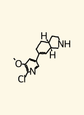 COc1cc(C2=C[C@H]3CNCC[C@H]3CC2)cnc1Cl